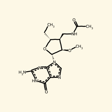 CC[C@H]1O[C@@H](n2cnc3c(=O)[nH]c(N)nc32)[C@H](OC)[C@@H]1CNC(C)=O